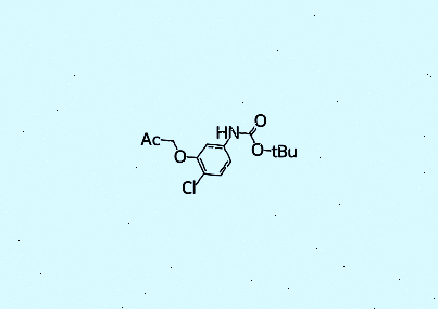 CC(=O)COc1cc(NC(=O)OC(C)(C)C)ccc1Cl